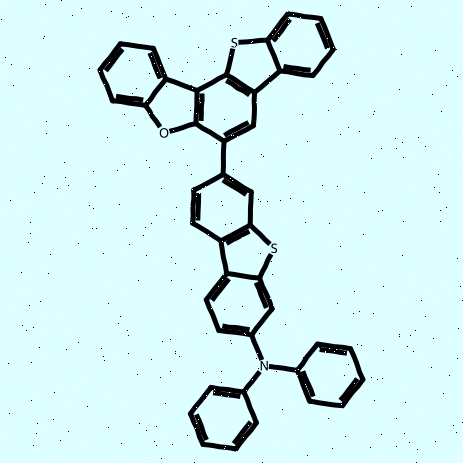 c1ccc(N(c2ccccc2)c2ccc3c(c2)sc2cc(-c4cc5c6ccccc6sc5c5c4oc4ccccc45)ccc23)cc1